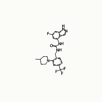 CC1CCN(c2cc(C(F)(F)F)ccc2CNC(=O)Nc2cc(F)cc3[nH]ncc23)CC1